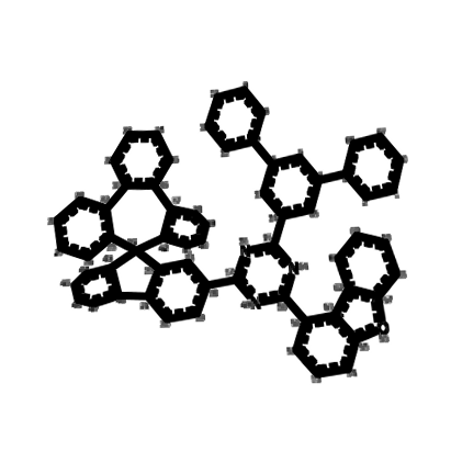 c1ccc(-c2cc(-c3ccccc3)cc(-c3nc(-c4ccc5c(c4)C4(c6ccccc6-c6ccccc6-c6ccccc64)c4ccccc4-5)nc(-c4cccc5oc6ccccc6c45)n3)c2)cc1